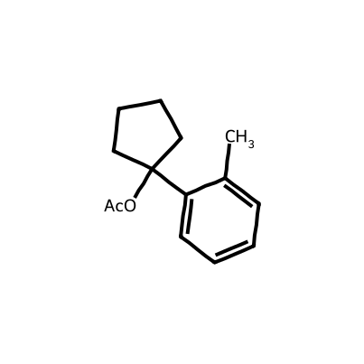 CC(=O)OC1(c2ccccc2C)CCCC1